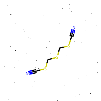 N#CSCSCSC#N